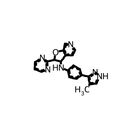 Cc1c[nH]nc1-c1ccc(NC2c3ccncc3OC2c2ncccn2)cc1